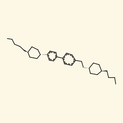 CCCCC[C@H]1CC[C@H](c2ccc(-c3ccc(CC[C@H]4CC[C@H](CCCC)CC4)cc3)cc2)CC1